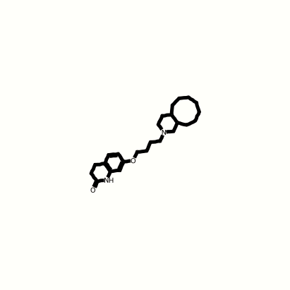 O=C1CCc2ccc(OCCCCN3CCC4CCCCCCCC4C3)cc2N1